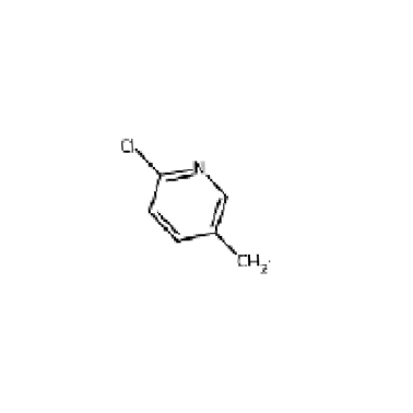 [CH2]c1ccc(Cl)nc1